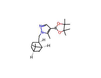 Cc1c(B2OC(C)(C)C(C)(C)O2)cnn1C[C@@H]1CC[C@@H]2C[C@H]1C2(C)C